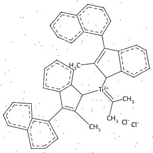 CC1=C(c2cccc3ccccc23)c2ccccc2[CH]1[Ti+2](=[C](C)C)[CH]1C(C)=C(c2cccc3ccccc23)c2ccccc21.[Cl-].[Cl-]